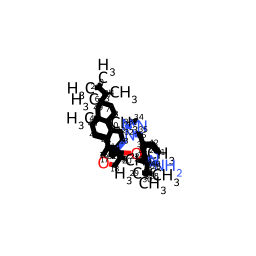 CC(C)[C@@H](C)C1(C)CCC2(C)C3CCC4C5(COCC4(C)C(OCC(C)(N)C(C)(C)C)C(n4ncnc4-c4ccncc4)C5)C3=CCC2(C)C1